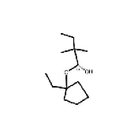 CCC1(O[C@@H](O)C(C)(C)CC)CCCC1